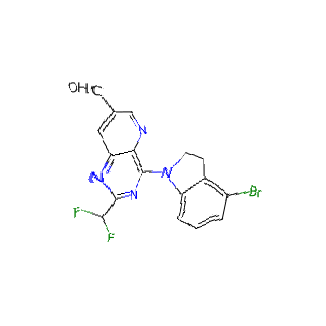 O=Cc1cnc2c(N3CCc4c(Br)cccc43)nc(C(F)F)nc2c1